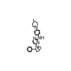 CC1CCN(c2ccc(Nc3nccc(N4OCCC4c4ccccc4)n3)cc2)CC1